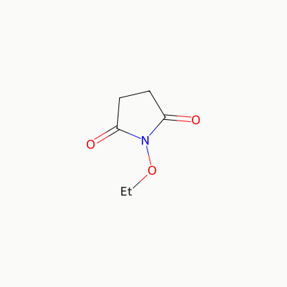 CCON1C(=O)CCC1=O